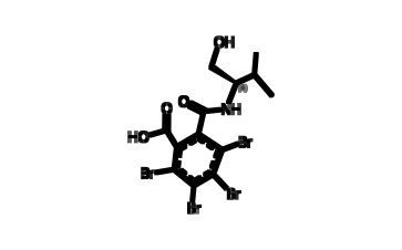 CC(C)[C@H](CO)NC(=O)c1c(Br)c(Br)c(Br)c(Br)c1C(=O)O